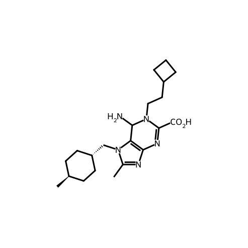 Cc1nc2c(n1C[C@H]1CC[C@H](C)CC1)C(N)N(CCC1CCC1)C(C(=O)O)=N2